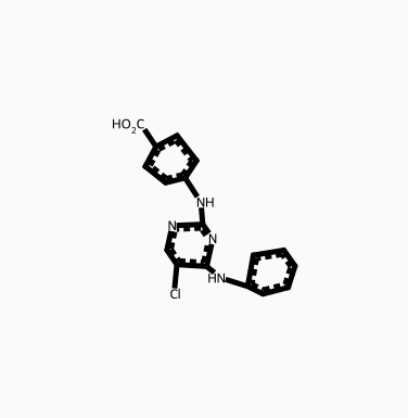 O=C(O)c1ccc(Nc2ncc(Cl)c(Nc3ccccc3)n2)cc1